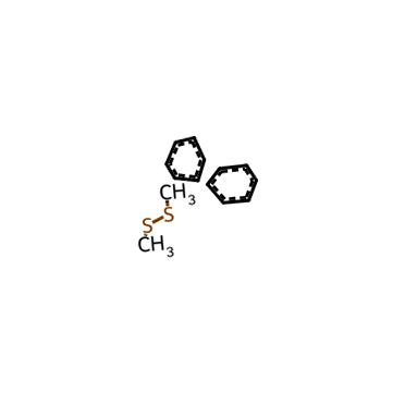 CSSC.c1ccccc1.c1ccccc1